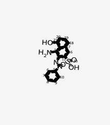 Nc1c(N=Nc2ccccc2)c(S(=O)(=O)O)cc2cccc(O)c12